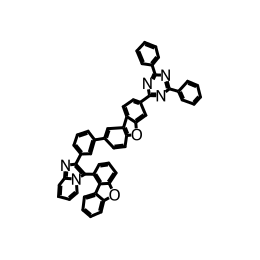 c1ccc(-c2nc(-c3ccccc3)nc(-c3ccc4c(c3)oc3ccc(-c5cccc(-c6nc7ccccn7c6-c6cccc7oc8ccccc8c67)c5)cc34)n2)cc1